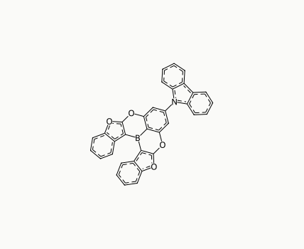 c1ccc2c3c(oc2c1)Oc1cc(-n2c4ccccc4c4ccccc42)cc2c1B3c1c(oc3ccccc13)O2